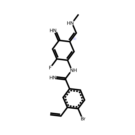 C=Cc1cc(C(=N)NC2=C/C(=C/NC)C(=N)C=C2F)ccc1Br